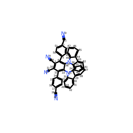 N#Cc1ccc(-c2c(C#N)c(C#N)c(-c3ccc(C#N)cc3)c(-n3c4ccccc4c4ccccc43)c2-n2c3ccccc3c3ccccc32)cc1